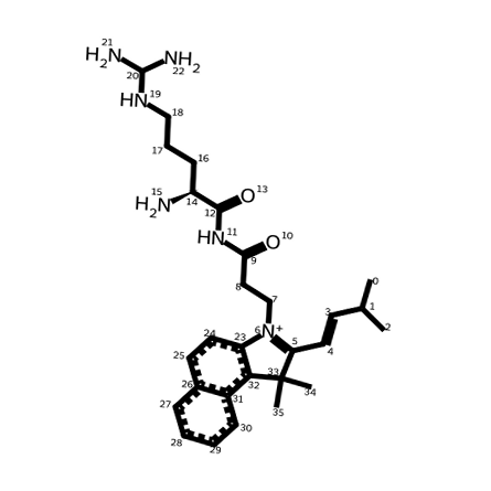 CC(C)/C=C/C1=[N+](CCC(=O)NC(=O)[C@@H](N)CCCNC(N)N)c2ccc3ccccc3c2C1(C)C